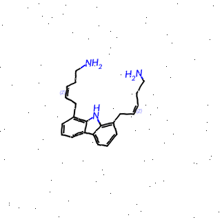 NCC/C=C\Cc1cccc2c1[nH]c1c(C/C=C\CCN)cccc12